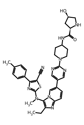 CCc1nc2ccc(-c3cnc(N4CCC(NC(=O)[C@H]5C[C@@H](O)CN5)CC4)nc3)cn2c1N(C)c1nc(-c2ccc(C)cc2)c(C#N)s1